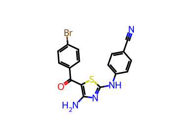 N#Cc1ccc(Nc2nc(N)c(C(=O)c3ccc(Br)cc3)s2)cc1